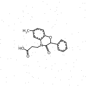 Cc1ccc2c(c1)N(CCC(=O)O)C(=O)C(c1ccccc1)O2